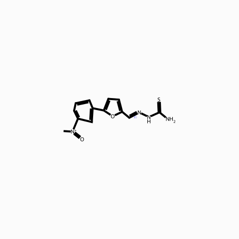 C[N+](=O)c1cccc(-c2ccc(/C=N/NC(N)=S)o2)c1